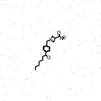 CCCCCCC(=O)c1ccc(CN2CC(C(=O)N=O)C2)cc1